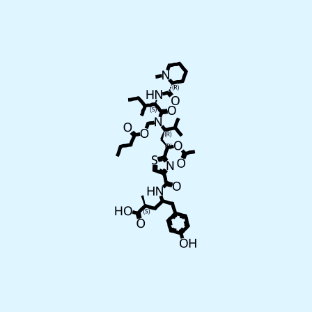 CCCC(=O)OCN(C(=O)[C@@H](NC(=O)[C@H]1CCCCN1C)C(C)CC)[C@H](C[C@@H](OC(C)=O)c1nc(C(=O)NC(Cc2ccc(O)cc2)C[C@H](C)C(=O)O)cs1)C(C)C